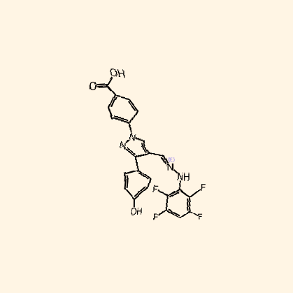 O=C(O)c1ccc(-n2cc(/C=N/Nc3c(F)c(F)cc(F)c3F)c(-c3ccc(O)cc3)n2)cc1